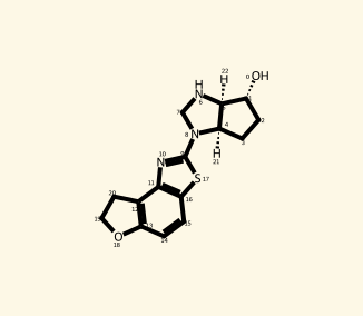 O[C@@H]1CC[C@@H]2[C@H]1NCN2c1nc2c3c(ccc2s1)OCC3